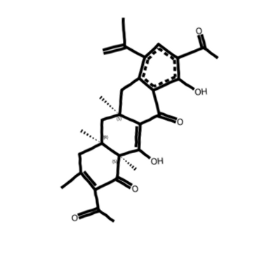 C=C(C)c1cc(C(C)=O)c(O)c2c1C[C@]1(C)C[C@]3(C)CC(C)=C(C(C)=O)C(=O)[C@]3(C)C(O)=C1C2=O